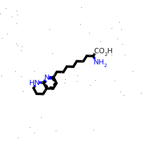 NC(CCCCCCCc1ccc2c(n1)NCCC2)C(=O)O